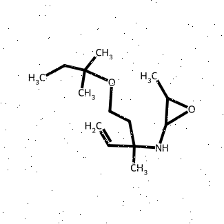 C=CC(C)(CCOC(C)(C)CC)NC1OC1C